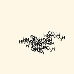 CC(C)CC(NC(=O)C(N)CC(=O)O)C(=O)NC(CO)C(=O)NC(CCCNC(=N)N)C(=O)NC(CC(C)C)C(=O)N1CCCC1C(=O)NC(CO)C(=O)NCC(=O)NC(CCC(=O)O)C(=O)O